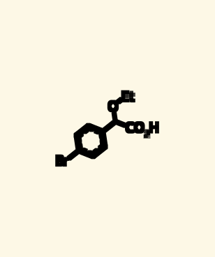 CCOC(C(=O)O)c1ccc(Br)cc1